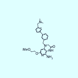 COCCOc1cc2c(c(N)n1)NC(=O)CN2Cc1cccc(-c2ccc(CN(C)C)s2)c1